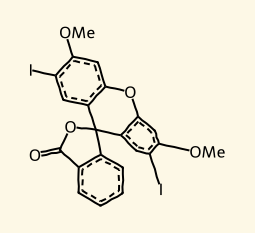 COc1cc2c(cc1I)C1(OC(=O)c3ccccc31)c1cc(I)c(OC)cc1O2